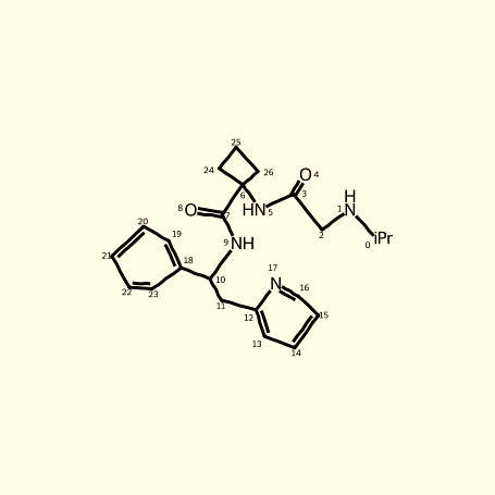 CC(C)NCC(=O)NC1(C(=O)NC(Cc2ccccn2)c2ccccc2)CCC1